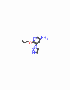 CCCOc1ncc(N)cc1-n1ccnn1